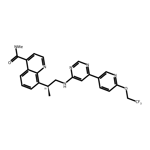 CNC(=O)c1ccnc2c([C@H](C)CNc3cc(-c4ccc(OCC(F)(F)F)nc4)ncn3)cccc12